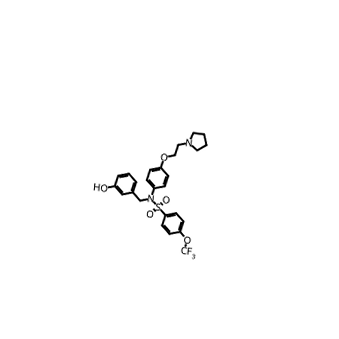 O=S(=O)(c1ccc(OC(F)(F)F)cc1)N(Cc1cccc(O)c1)c1ccc(OCCN2CCCC2)cc1